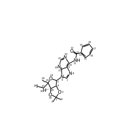 CC1(C)OC2C(n3cnc4c(NC(=O)c5ccccc5)ncnc43)OC(C)(CI)[C@@H]2O1